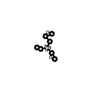 c1cc(-c2nc(-c3ccc4ccccc4c3)nc(-c3ccc4c(c3)oc3ccccc34)n2)cc(-c2cccc3oc4ccccc4c23)c1